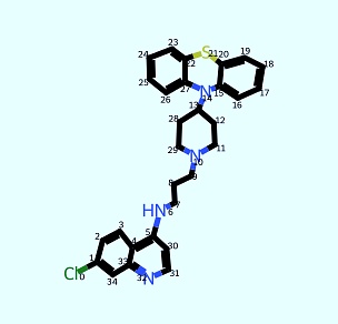 Clc1ccc2c(NCCCN3CCC(N4c5ccccc5Sc5ccccc54)CC3)ccnc2c1